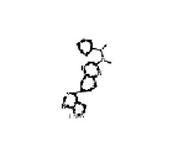 C[C@H](c1ccccc1)N(C)c1cnc2cc(-c3ncnc4[nH]ncc34)ccc2n1